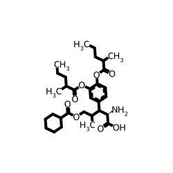 CCCC(C)C(=O)Oc1ccc(C(C(C)COC(=O)C2CCCCC2)[C@H](N)C(=O)O)cc1OC(=O)C(C)CCC